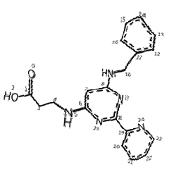 O=C(O)CCNc1cc(NCc2ccccc2)nc(-c2ccccn2)n1